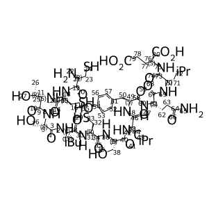 CC[C@H](C)[C@H](NC(=O)[C@H](CO)NC(=O)[C@@H](NC(=O)[C@H](CS)NC(=O)[C@@H](N)CS)[C@@H](C)O)C(=O)N[C@@H](CS)C(=O)N[C@@H](CO)C(=O)N[C@@H](CC(C)C)C(=O)N[C@@H](Cc1ccc(O)cc1)C(=O)N[C@@H](CCC(N)=O)C(=O)N[C@@H](CC(C)C)C(=O)N[C@@H](CCC(=O)O)C(=O)O